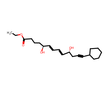 CCOC(=O)CCC[C@H](O)/C=C/C=C/[C@H](O)CC#CC1CCCCC1